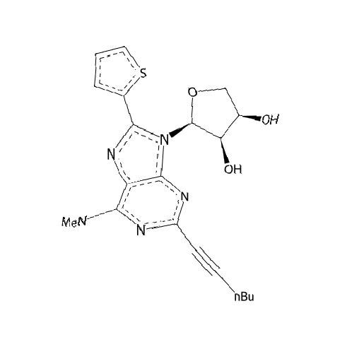 CCCCC#Cc1nc(NC)c2nc(-c3cccs3)n([C@H]3OC[C@@H](O)[C@H]3O)c2n1